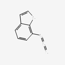 [N-]=[N+]=Nc1cccc2cc[nH]c12